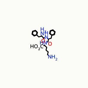 NCCCCC(NC(=O)C(Cc1ccccc1)NC(=O)C(N)Cc1ccccc1)C(=O)O